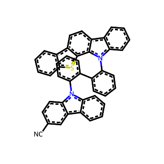 N#Cc1ccc2c(c1)c1ccccc1n2-c1ccccc1-c1ccccc1-n1c2ccccc2c2ccc3c4ccccc4sc3c21